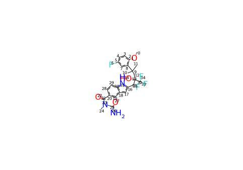 COc1ccc(F)cc1C(C)(C)CC(O)(Cc1cc2cc(C(=O)N(C)C(N)=O)ccc2[nH]1)C(F)(F)F